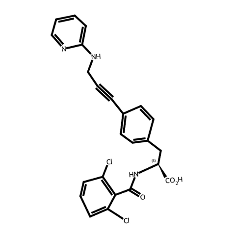 O=C(N[C@@H](Cc1ccc(C#CCNc2ccccn2)cc1)C(=O)O)c1c(Cl)cccc1Cl